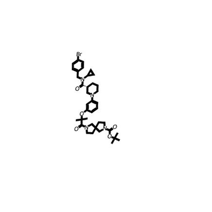 CC(C)(C)OC(=O)N1CCC2(CCN(C(=O)C(C)(C)Oc3cccc(N4CCC[C@@H](C(=O)N(Cc5ccc(Br)cc5)C5CC5)C4)c3)C2)C1